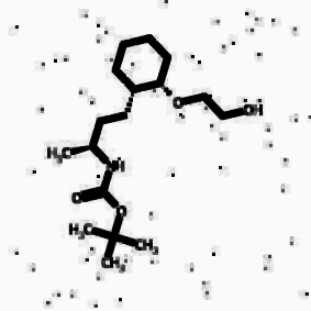 C[C@@H](CC[C@@H]1CCCC[C@@H]1OCCO)NC(=O)OC(C)(C)C